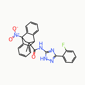 CC1(C(=O)Nc2nc(-c3ccccc3F)n[nH]2)CC2([N+](=O)[O-])c3ccccc3C1c1ccccc12